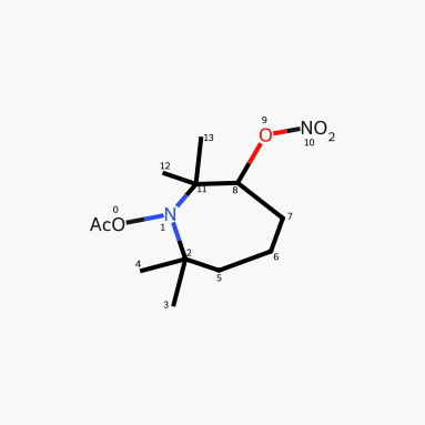 CC(=O)ON1C(C)(C)CCCC(O[N+](=O)[O-])C1(C)C